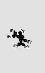 CC(C)c1ccc(N2c3cc(-n4c5ccc(C(C)C)cc5c5cc(C(C)C)ccc54)ccc3B3c4ccc(-n5c6ccc(C(C)C)cc6c6cc(C(C)C)ccc65)cc4N(c4ccc(C(C)C)cc4)c4cccc2c43)cc1